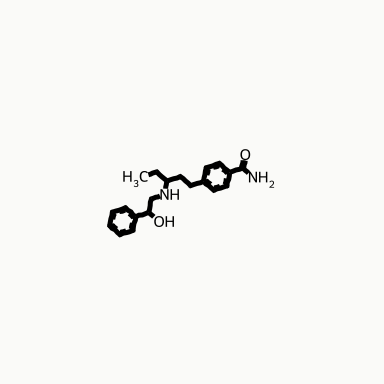 CCC(CCc1ccc(C(N)=O)cc1)NCC(O)c1ccccc1